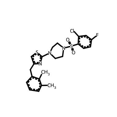 Cc1cccc(Cc2csc(N3CCN(S(=O)(=O)c4ccc(F)cc4Cl)CC3)n2)c1C